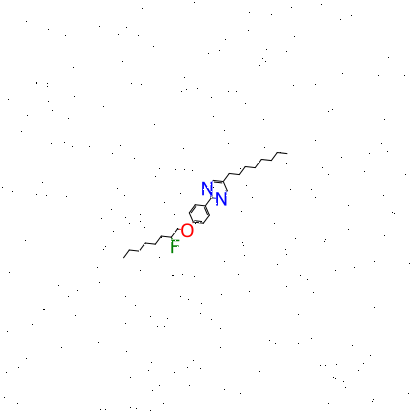 CCCCCCCCc1cnc(-c2ccc(OC[C@@H](F)CCCCCC)cc2)nc1